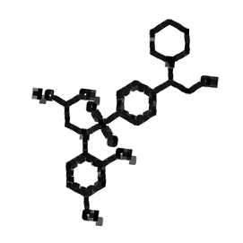 Cc1ccc(N(CC(C)C)S(=O)(=O)c2ccc(C(CO)N3CCCCC3)cc2)c(C)c1